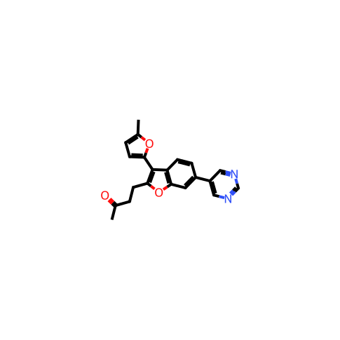 CC(=O)CCc1oc2cc(-c3cncnc3)ccc2c1-c1ccc(C)o1